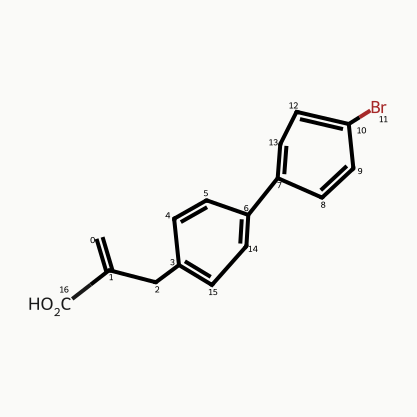 C=C(Cc1ccc(-c2ccc(Br)cc2)cc1)C(=O)O